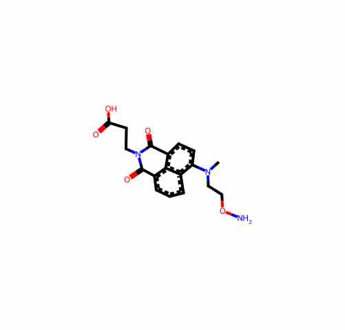 CN(CCON)c1ccc2c3c(cccc13)C(=O)N(CCC(=O)O)C2=O